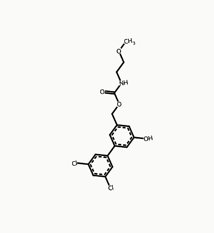 COCCNC(=O)OCc1cc(O)cc(-c2cc(Cl)cc(Cl)c2)c1